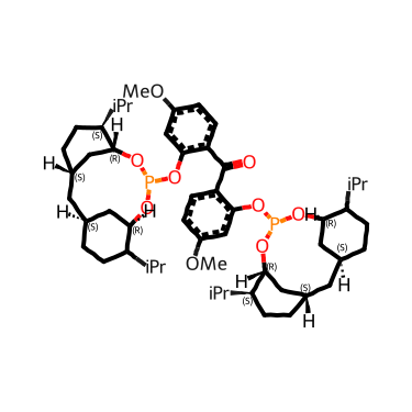 COc1ccc(C(=O)c2ccc(OC)cc2OP2O[C@@H]3C[C@@H](CCC3C(C)C)C[C@@H]3CC[C@@H](C(C)C)[C@@H](C3)O2)c(OP2O[C@@H]3C[C@@H](CCC3C(C)C)C[C@@H]3CC[C@@H](C(C)C)[C@@H](C3)O2)c1